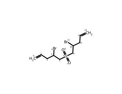 C=CCC(Br)CS(=O)(=O)CC(Br)CC=C